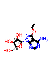 CCOc1nn([C@@H]2O[C@H](CO)C(O)[C@H]2O)c2ncnc(N)c12